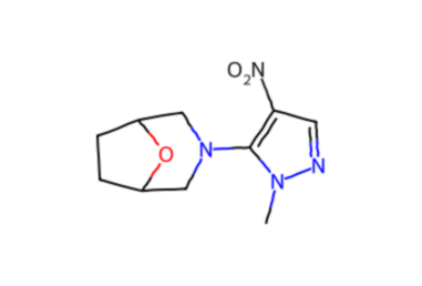 Cn1ncc([N+](=O)[O-])c1N1CC2CCC(C1)O2